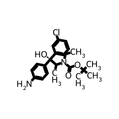 CCN(C(=O)OC(C)(C)C)C(C)[C@@](O)(c1ccc(N)cc1)c1cccc(Cl)c1